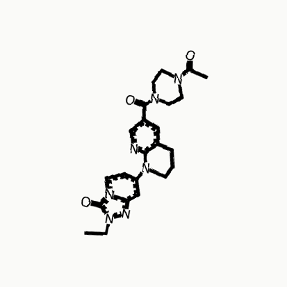 CCn1nc2cc(N3CCCc4cc(C(=O)N5CCN(C(C)=O)CC5)cnc43)ccn2c1=O